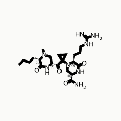 CCCC[C@H]1C(=O)N[C@@H](C(=O)C2(N3C[C@H](C(N)=O)NC(=O)[C@@H]3CCCNC(=N)N)CC2)CN1C